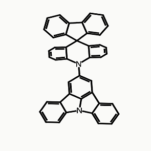 c1ccc2c(c1)-c1ccccc1C21c2ccccc2N(c2cc3c4ccccc4n4c5ccccc5c(c2)c34)c2ccccc21